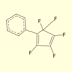 FC1=C(F)C(F)(F)C(c2ccccc2)=C1F